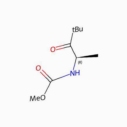 COC(=O)N[C@H](C)C(=O)C(C)(C)C